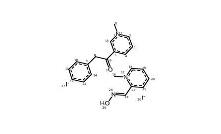 C[n+]1cccc(C(=O)Cc2ccccc2)c1.C[n+]1ccccc1C=NO.[I-].[I-]